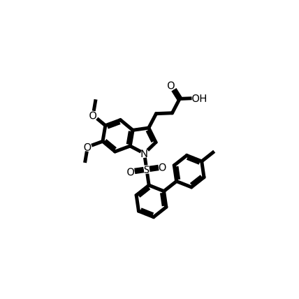 COc1cc2c(CCC(=O)O)cn(S(=O)(=O)c3ccccc3-c3ccc(C)cc3)c2cc1OC